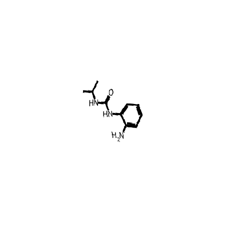 CC(C)NC(=O)Nc1ccccc1N